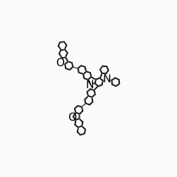 c1ccc(-n2c3ccccc3c3c4c5cc6ccc(-c7ccc8oc9cc%10ccccc%10cc9c8c7)cc6cc5n5c6cc7cc(-c8ccc9oc%10cc%11ccccc%11cc%10c9c8)ccc7cc6c(cc32)c45)cc1